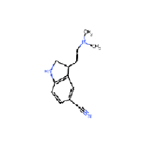 CN(C)CCC1CNc2ccc(C#N)cc21